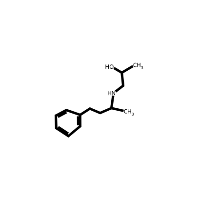 CC(O)CNC(C)CCc1ccccc1